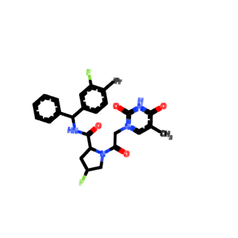 Cc1cn(CC(=O)N2CC(F)CC2C(=O)NC(c2ccccc2)c2ccc(C(C)C)c(F)c2)c(=O)[nH]c1=O